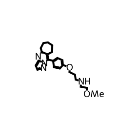 COCCNCCCOc1ccc(-c2c3c(nc4ccnn24)CCCCC3)cc1